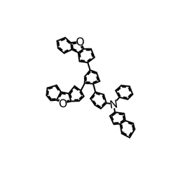 c1ccc(N(c2cccc(-c3ccc(-c4ccc5oc6ccccc6c5c4)cc3-c3ccc4oc5ccccc5c4c3)c2)c2ccc3ccccc3c2)cc1